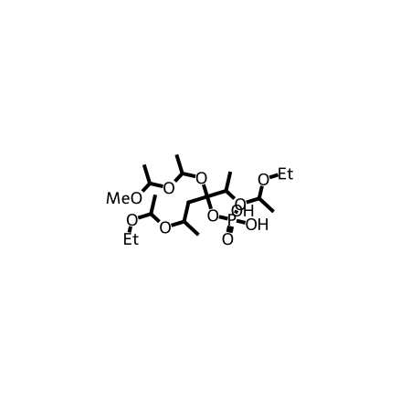 CCOC(C)OC(C)CC(OC(C)OC(C)OC)(OP(=O)(O)O)C(C)OC(C)OCC